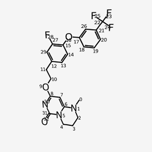 CN1CCCn2c1cc(OCCc1ccc(Oc3cccc(C(F)(F)F)c3)c(F)c1)nc2=O